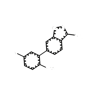 COc1ccc(C(C)C)cc1-c1ccc2c(N)n[nH]c2c1